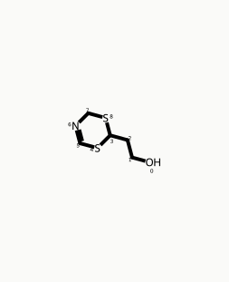 OCCC1SC=NCS1